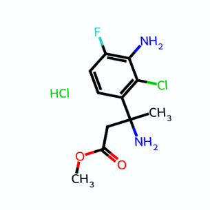 COC(=O)CC(C)(N)c1ccc(F)c(N)c1Cl.Cl